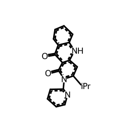 CC(C)c1cc2[nH]c3ccccc3c(=O)c2c(=O)n1-c1ccccn1